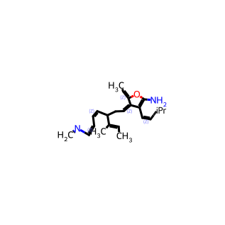 C=N/C=C\C=C/C(C/C=c1/c(/C=C\C(C)C)c(N)o/c1=C\C)C(C)=CC